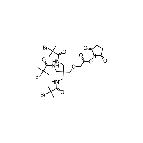 CC(C)(Br)C(=O)NCC(CNC(=O)C(C)(C)Br)(CNC(=O)C(C)(C)Br)COCC(=O)ON1C(=O)CCC1=O